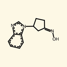 ON=C1CCC(n2cnc3ccccc32)C1